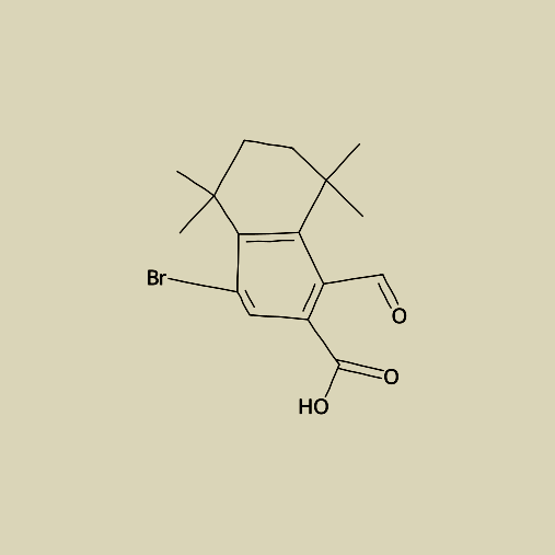 CC1(C)CCC(C)(C)c2c(C=O)c(C(=O)O)cc(Br)c21